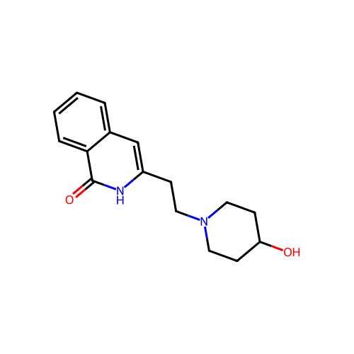 O=c1[nH]c(CCN2CCC(O)CC2)cc2ccccc12